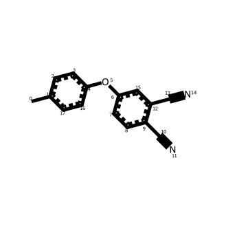 Cc1ccc(Oc2ccc(C#N)c(C#N)c2)cc1